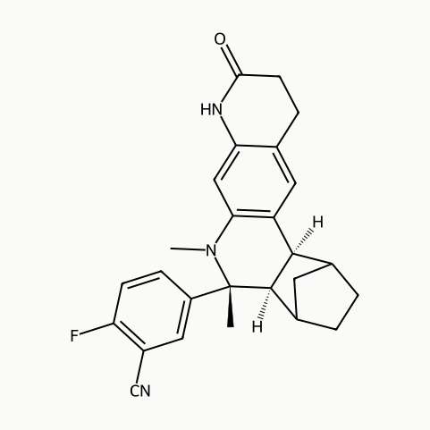 CN1c2cc3c(cc2[C@H]2C4CCC(C4)[C@H]2[C@]1(C)c1ccc(F)c(C#N)c1)CCC(=O)N3